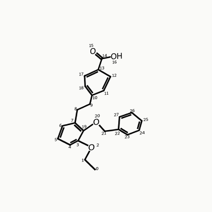 CCOc1cccc(CCc2ccc(C(=O)O)cc2)c1OCc1ccccc1